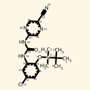 CC(C)(C)[Si](C)(C)Oc1ccc(Cl)cc1NC(=O)Nc1cnc(C#N)cn1